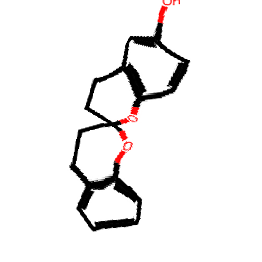 Oc1ccc2c(c1)CCC1(CCc3ccccc3O1)O2